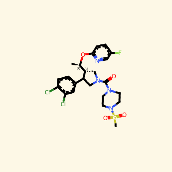 C[C@@H](Oc1ccc(F)cn1)[C@@H]1CN(C(=O)N2CCN(S(C)(=O)=O)CC2)CC1c1ccc(Cl)c(Cl)c1